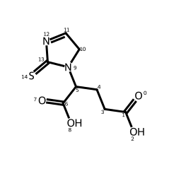 O=C(O)CCC(C(=O)O)N1CC=NC1=S